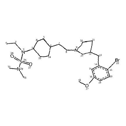 CCN(C1CCC(CCN2CCC(Cc3cc(OC)ccc3Br)C2)CC1)S(=O)(=O)N(C)C